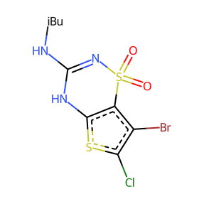 CCC(C)NC1=NS(=O)(=O)c2c(sc(Cl)c2Br)N1